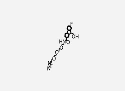 [N-]=[N+]=NCCOCCOCCOCCNC(=O)c1ccc2c(c1)C(CO)c1cc(F)ccc1-2